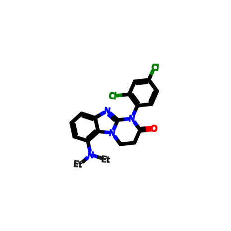 CCN(CC)c1cccc2nc3n(c12)CCC(=O)N3c1ccc(Cl)cc1Cl